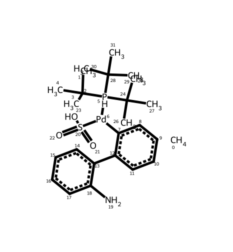 C.CC(C)(C)[PH]([Pd]([c]1ccccc1-c1ccccc1N)[S](=O)(=O)O)(C(C)(C)C)C(C)(C)C